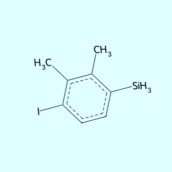 Cc1c([SiH3])ccc(I)c1C